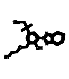 CC(C)CCOCc1cc(C(C)(C)CC(C)(C)C)cc(-n2nc3ccccc3n2)c1O